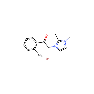 Cc1n(CC(=O)c2ccccc2C(F)(F)F)cc[n+]1C.[Br-]